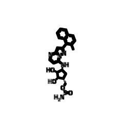 Cc1ccc2ccccc2c1-c1cc2nccc(N[C@@H]3C[C@H](COS(N)=O)[C@@H](O)[C@H]3O)n2n1